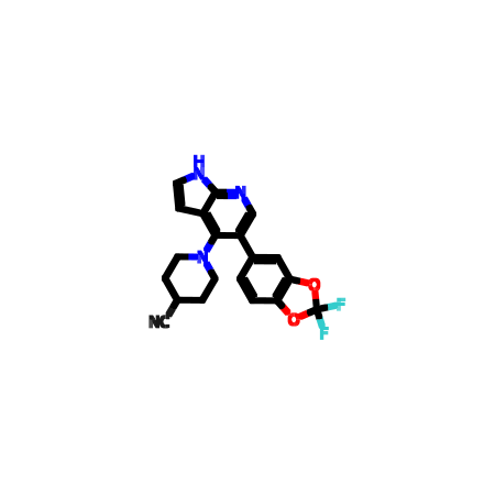 N#CC1CCN(c2c(-c3ccc4c(c3)OC(F)(F)O4)cnc3[nH]ccc23)CC1